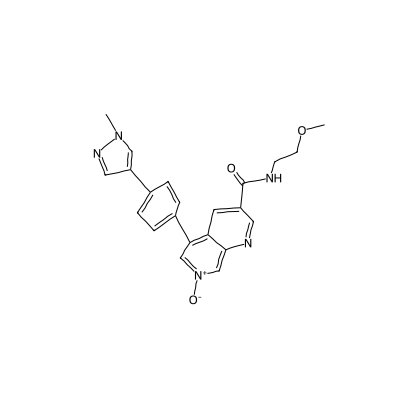 COCCNC(=O)c1cnc2c[n+]([O-])cc(-c3ccc(-c4cnn(C)c4)cc3)c2c1